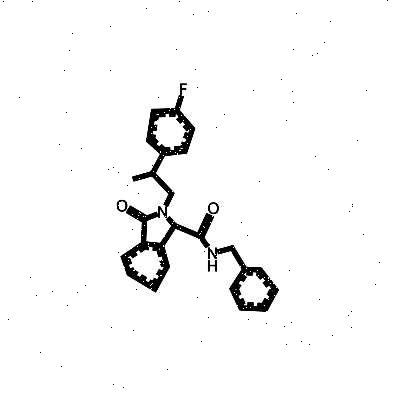 CC(CN1C(=O)c2ccccc2C1C(=O)NCc1ccccc1)c1ccc(F)cc1